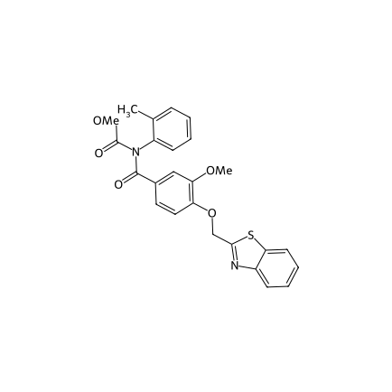 COC(=O)N(C(=O)c1ccc(OCc2nc3ccccc3s2)c(OC)c1)c1ccccc1C